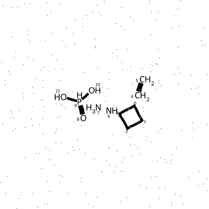 C1CCC1.C=C.N.N.O=[PH](O)O